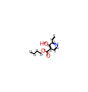 C=Cc1nccc(C(=O)OCCCC)c1O